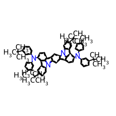 Cc1ccc(N(c2cccc(C(C)(C)C)c2)c2ccc3c4cc5c(cc4n4c6ccc(C(C)(C)C)cc6c2c34)c2ccc(N(c3cccc(C(C)(C)C)c3)c3ccc(C)c(C)c3)c3c4cc(C(C)(C)C)ccc4n5c23)cc1C